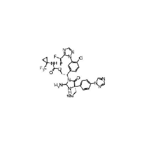 CC(C)(C)C[C@]1(c2ccc(-n3cncn3)cc2)NC(N)N([C@H](COC(=O)NC2(C(F)(F)F)CC2)c2ccc(Cl)c(-n3ncnc3C(F)F)c2)C1=O